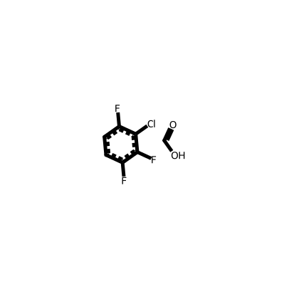 Fc1ccc(F)c(Cl)c1F.O=CO